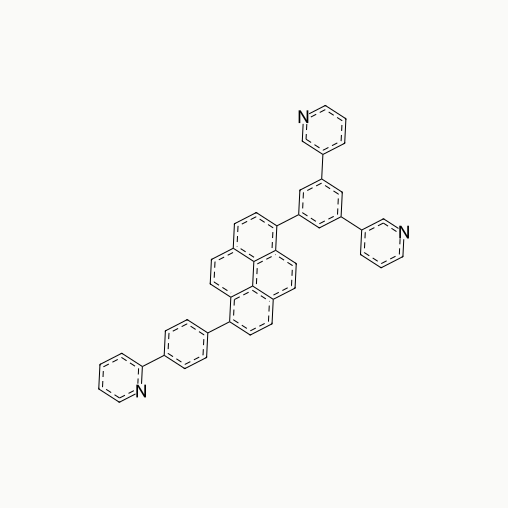 c1ccc(-c2ccc(-c3ccc4ccc5c(-c6cc(-c7cccnc7)cc(-c7cccnc7)c6)ccc6ccc3c4c65)cc2)nc1